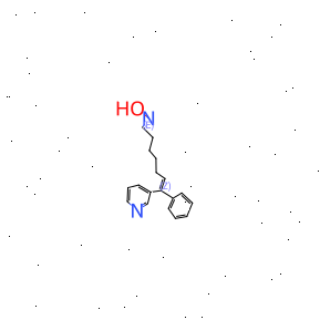 O/N=C/CCCC/C=C(/c1ccccc1)c1cccnc1